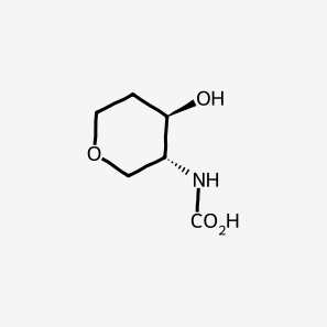 O=C(O)N[C@@H]1COCC[C@H]1O